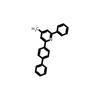 Cc1cc(-c2ccccc2)nc(-c2ccc(-c3ccccc3)cc2)c1